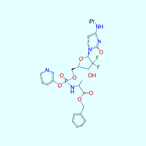 CC(C)Nc1ccn([C@@H]2O[C@H](COP(=O)(NC(C)C(=O)OCc3ccccc3)Oc3cccnc3)[C@@H](O)C2(F)F)c(=O)n1